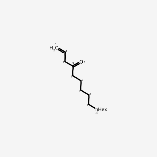 C=CCC(=O)CCCCCCCCCCC